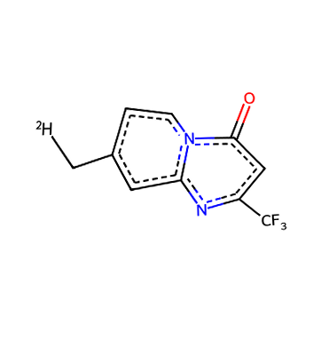 [2H]Cc1ccn2c(=O)cc(C(F)(F)F)nc2c1